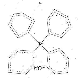 Oc1ccccc1[P+](c1ccccc1)(c1ccccc1)c1ccccc1.[I-]